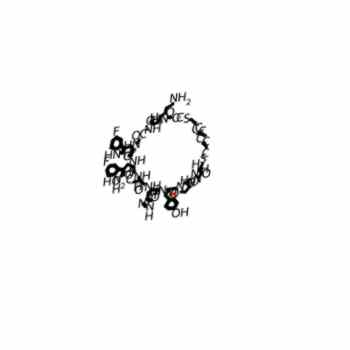 NCCCC[C@@H]1NC(=O)CCSCc2ccc3cc(ccc3c2)CSC[C@@H](C(N)=O)NC(=O)[C@@H]2CCCN2C(=O)[C@H](Cc2ccc(O)cc2)NC(=O)[C@H](Cc2c[nH]cn2)NC(=O)[C@H](CC(=O)O)NC(=O)[C@H](Cc2c[nH]c3ccc(F)cc23)NC(=O)[C@H](Cc2c[nH]c3ccc(F)cc23)NC(=O)CNC1=O